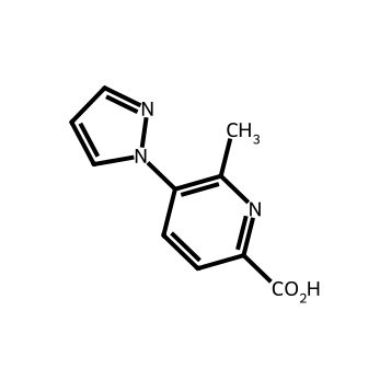 Cc1nc(C(=O)O)ccc1-n1cccn1